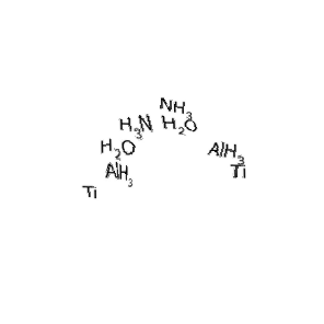 N.N.O.O.[AlH3].[AlH3].[Ti].[Ti]